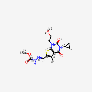 CCOCCn1c(=O)n(C2CC2)c(=O)c2c(C)c(C=NNC(=O)OC(C)(C)C)sc21